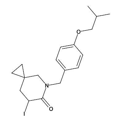 CC(C)COc1ccc(CN2CC3(CC3)CC(I)C2=O)cc1